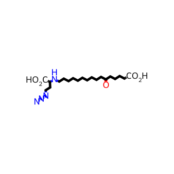 [N-]=[N+]=NCCC(NCCCCCCCCCCC(=O)CCCCC(=O)O)C(=O)O